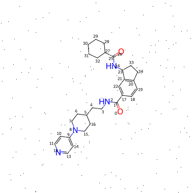 O=C(NCCC1CCN(c2ccncc2)CC1)c1ccc2c(c1)C(NC(=O)C1CCCCC1)CC2